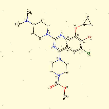 CN(C)C1CCN(c2nc(N3CCN(C(=O)OC(C)(C)C)CC3)c3cc(Cl)c(Br)c(OC4CC4)c3n2)CC1